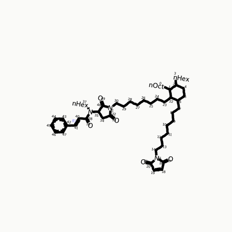 CCCCCCCCC1C(CCCCCC)CCC(CCCCCCCCN2C(=O)C=CC2=O)C1CCCCCCCCN1C(=O)CC(N(CCCCCC)C(=O)/C=C/c2ccccc2)C1=O